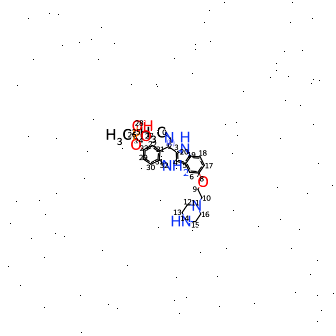 C/N=C(/c1cc2cc(OCCN3CCNCC3)ccc2[nH]1)c1cc(OP(C)(=O)O)ccc1N